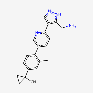 Cc1cc(C2(C#N)CC2)ccc1-c1ccc(-c2cn[nH]c2CN)nc1